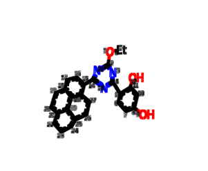 CCOc1nc(-c2ccc(O)cc2O)nc(-c2ccc3ccc4cccc5ccc2c3c45)n1